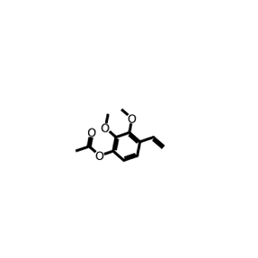 C=Cc1ccc(OC(C)=O)c(OC)c1OC